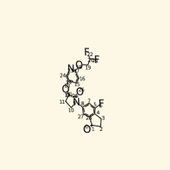 O=C1CCc2c(F)cc(N3CC[C@@H](Oc4ccc(OCC(F)F)nc4)C3=O)cc21